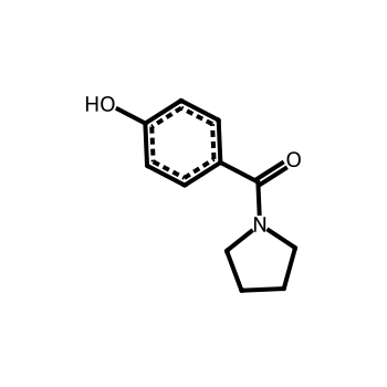 O=C(c1ccc(O)cc1)N1CCCC1